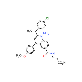 C=C(/C=C(/C(C)c1ccc(Cl)cc1)N(N)c1ccc(C(=O)NCCC(=O)O)cc1)c1ccc(OC(F)(F)F)cc1